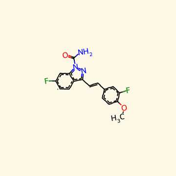 COc1ccc(C=Cc2nn(C(N)=O)c3cc(F)[c]cc23)cc1F